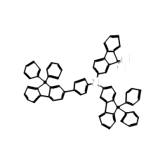 CC1(C)c2ccccc2-c2ccc(N(c3ccc(-c4ccc5c(c4)C(c4ccccc4)(c4ccccc4)c4ccccc4-5)cc3)c3ccc4c(c3)-c3ccccc3C4(c3ccccc3)c3ccccc3)cc21